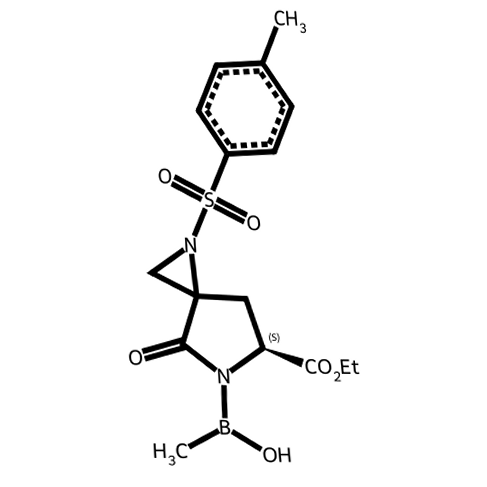 CCOC(=O)[C@@H]1CC2(CN2S(=O)(=O)c2ccc(C)cc2)C(=O)N1B(C)O